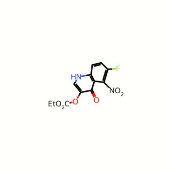 CCOC(=O)Oc1c[nH]c2ccc(F)c([N+](=O)[O-])c2c1=O